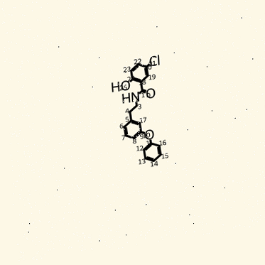 O=C(NCCc1cccc(Oc2ccccc2)c1)c1cc(Cl)ccc1O